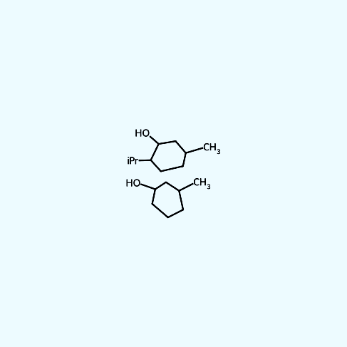 CC1CCC(C(C)C)C(O)C1.CC1CCCC(O)C1